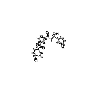 O=C(C=C(O)c1nc[nH]n1)c1nc(S(=O)(=O)c2ccc(Cl)cc2)cs1